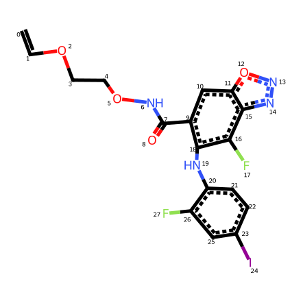 C=COCCONC(=O)c1cc2onnc2c(F)c1Nc1ccc(I)cc1F